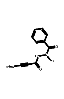 CCCCCCC#CC(=O)NN(C(=O)c1ccccc1)C(C)(C)C